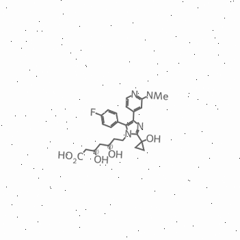 CNc1cc(-c2nc(C3(O)CC3)n(CC[C@@H](O)C[C@@H](O)CC(=O)O)c2-c2ccc(F)cc2)ccn1